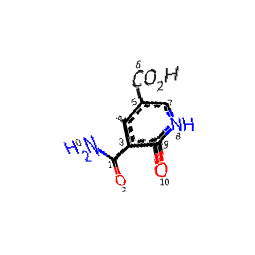 NC(=O)c1cc(C(=O)O)c[nH]c1=O